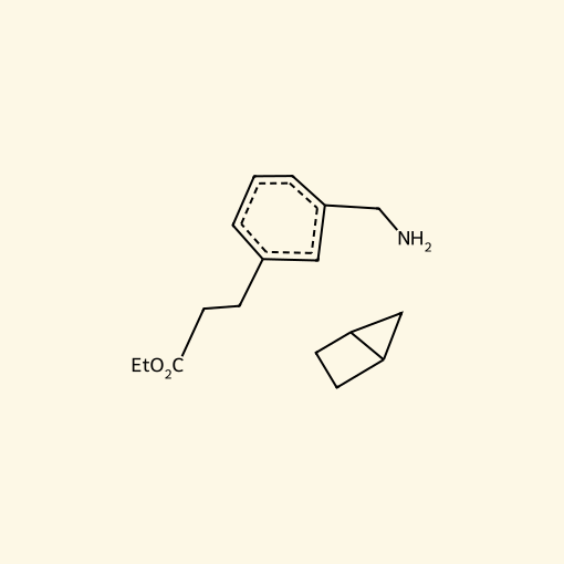 C1CC2CC12.CCOC(=O)CCc1cccc(CN)c1